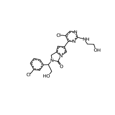 O=C1N(C(CO)c2cccc(Cl)c2)Cc2cc(-c3nc(NCCO)ncc3Cl)cn21